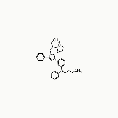 CCC(Cn1cncc1-c1ccccc1)C1OCCO1.CCCCB(c1ccccc1)c1ccccc1